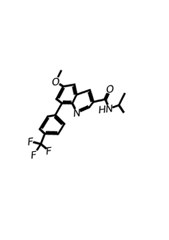 COc1cc(-c2ccc(C(F)(F)F)cc2)c2ncc(C(=O)NC(C)C)cc2c1